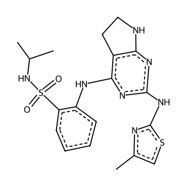 Cc1csc(Nc2nc3c(c(Nc4ccccc4S(=O)(=O)NC(C)C)n2)CCN3)n1